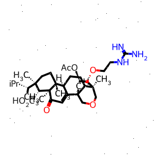 CC(=O)O[C@@H]1C[C@]23COC[C@@](C)([C@@H]2CC[C@H]2C3=CC(=O)[C@@]3(C)[C@H](C(=O)O)[C@@](C)([C@H](C)C(C)C)CC[C@]23C)[C@H]1OCCNC(=N)N